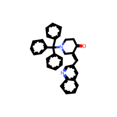 O=C1CCN(C(c2ccccc2)(c2ccccc2)c2ccccc2)C/C1=C\c1cnc2ccccc2c1